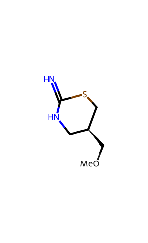 COC[C@H]1CNC(=N)SC1